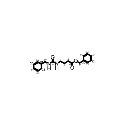 O=C(NCCCC(=O)OCc1ccccc1)NCC1C=CC=CC1